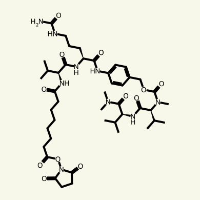 CC(C)[C@H](NC(=O)CCCCCCC(=O)ON1C(=O)CCC1=O)C(=O)N[C@@H](CCCNC(N)=O)C(=O)Nc1ccc(COC(=O)N(C)[C@H](C(=O)N[C@H](C(=O)N(C)C)C(C)C)C(C)C)cc1